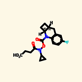 O=C(O)CCC(=O)N(OC(=O)N1c2ccc(F)cc2C[C@H]2CC[C@H]21)C1CC1